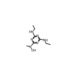 CCNc1nc(NCC)nc(N(C)O)n1